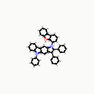 c1ccc(-c2c(-c3ccccc3)n(-c3cccc4c3oc3ccccc34)c3cc4c5ccccc5n(-c5ccccc5)c4cc23)cc1